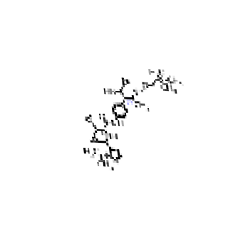 C/C(NCOCC[Si](C)(C)C)=C(/C(=N)C1CC1)c1ccc(NC(=O)[C@H]2NC(c3ccnn3C(C)C)=C3CC3C2C2CC2)cc1